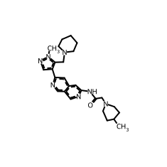 CC1CCN(CC(=O)Nc2cc3cc(-c4cnn(C)c4CN4CCCCC4)ncc3cn2)CC1